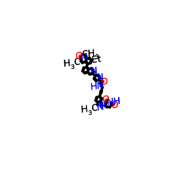 CCc1cc(-c2cccc3cc(-c4ccc(C(=O)NCC#Cc5ccc6c(C)nn(C7CCC(=O)NC7=O)c6c5)nc4)ncc23)c2cc(C)c(=O)n(C)c2c1